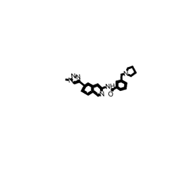 Cn1cc(-c2ccc3cnc(NC(=O)c4cccc(CN5CCCC5)c4)cc3c2)nn1